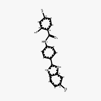 O=C(Nc1ccc(-c2nc3ccc(Cl)cc3o2)cc1)c1ccc(F)cc1F